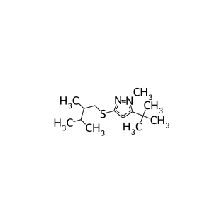 CC(C)C(C)CSc1cc(C(C)(C)C)n(C)n1